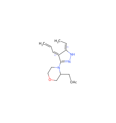 C=C/C=c1/c(N2CCOCC2COC(C)=O)n[nH]/c1=C/C